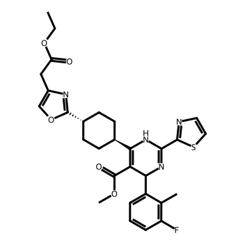 CCOC(=O)Cc1coc([C@H]2CC[C@H](C3=C(C(=O)OC)C(c4cccc(F)c4C)N=C(c4nccs4)N3)CC2)n1